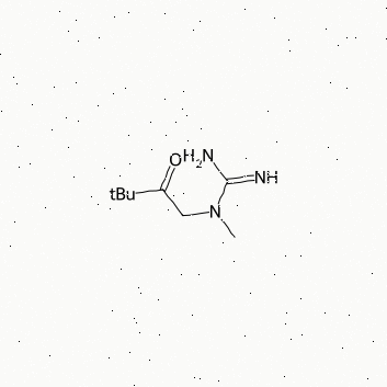 CN(CC(=O)C(C)(C)C)C(=N)N